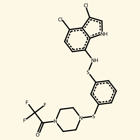 O=C(N1CCN(Sc2cccc(SNc3ccc(Cl)c4c(Cl)c[nH]c34)c2)CC1)C(F)(F)F